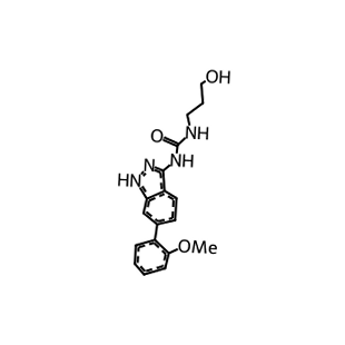 COc1ccccc1-c1ccc2c(NC(=O)NCCCO)n[nH]c2c1